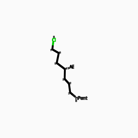 CCCCCCCCCCCCCl.[Al]